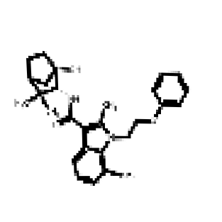 COc1cccc2c(C(=O)N[C@@H]3C(C)(C)C4CC[C@@]3(C)C4)c(C)n(CCOc3ccccc3)c12